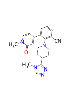 Cn1cnnc1C1CCN(c2c(C#N)cccc2-c2ccn(C)c(=O)c2)CC1